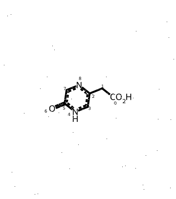 O=C(O)Cc1c[nH]c(=O)cn1